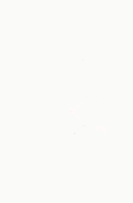 CCCC(Cl)C(C)OC(C)=O